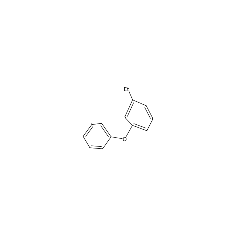 CCc1cccc(Oc2c[c]ccc2)c1